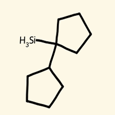 [SiH3]C1(C2CCCC2)CCCC1